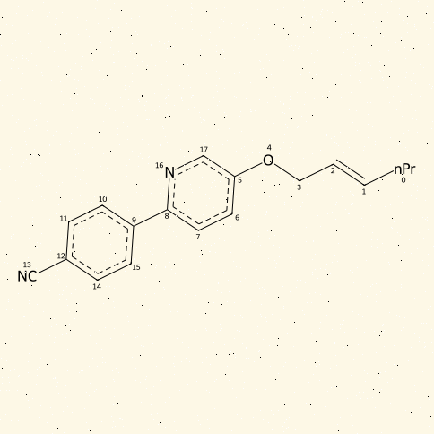 CCC/C=C/COc1ccc(-c2ccc(C#N)cc2)nc1